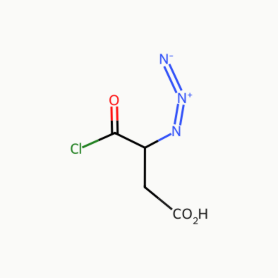 [N-]=[N+]=NC(CC(=O)O)C(=O)Cl